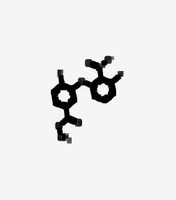 COC(=O)c1ccc(F)c(Oc2cccc(F)c2[N+](=O)[O-])c1